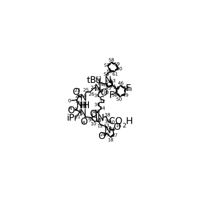 CC(NC(=O)C(NC(=O)CCCCCN1C(=O)C=CC1=O)C(C)C)C(=O)NCCCN(C(=O)CSCCC(=O)NCCC(=O)O)C(c1cc(-c2cc(F)ccc2F)cn1Cc1ccccc1)C(C)(C)C